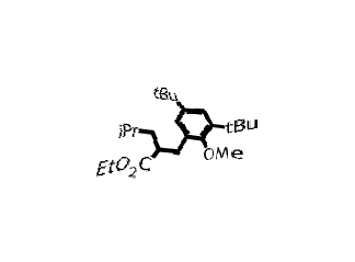 CCOC(=O)C(Cc1cc(C(C)(C)C)cc(C(C)(C)C)c1OC)CC(C)C